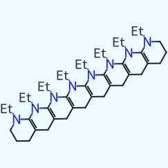 CCN1CCCC2=C1N(CC)C1=C(C2)CC2=C(N1CC)N(CC)C1=C(C2)CC2=C(N(CC)C3=C(CC4=C(N(CC)CCC4)N3CC)C2)N1CC